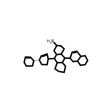 BC1CCC2C(C1)C(C1C=C[C@@H](C3C=CCCC3)CC1)C1CCCCC1C2C1C=CC2CCCCC2C1